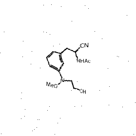 CON(CCO)c1cccc(CC(C#N)NC(C)=O)c1